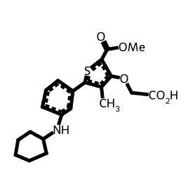 COC(=O)c1sc(-c2cccc(NC3CCCCC3)c2)c(C)c1OCC(=O)O